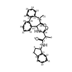 CC(C(=O)NC1CCc2ccccc21)C(=O)NC1C(=O)N(C)c2ccccc2-c2ccccc21